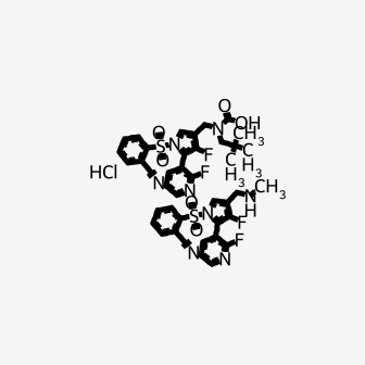 CC(C)(C)CN(Cc1cn(S(=O)(=O)c2ccccc2C#N)c(-c2cccnc2F)c1F)C(=O)O.CNCc1cn(S(=O)(=O)c2ccccc2C#N)c(-c2cccnc2F)c1F.Cl